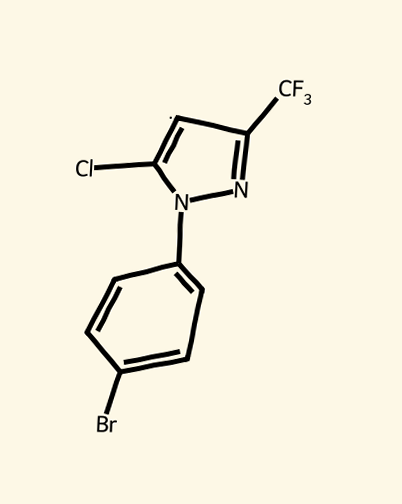 FC(F)(F)c1[c]c(Cl)n(-c2ccc(Br)cc2)n1